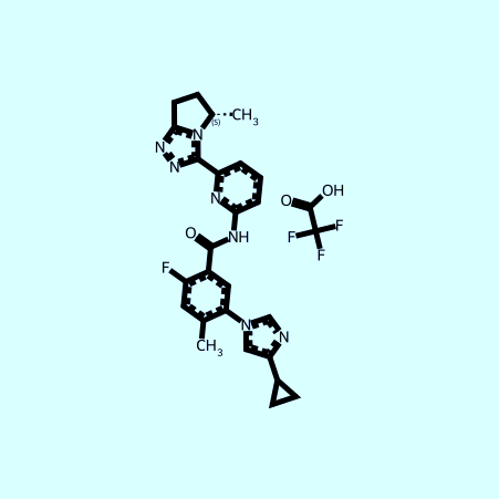 Cc1cc(F)c(C(=O)Nc2cccc(-c3nnc4n3[C@@H](C)CC4)n2)cc1-n1cnc(C2CC2)c1.O=C(O)C(F)(F)F